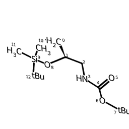 [CH2][C@@H](CNC(=O)OC(C)(C)C)O[Si](C)(C)C(C)(C)C